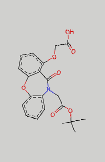 CC(C)(C)OC(=O)CN1C(=O)c2c(OCC(=O)O)cccc2Oc2ccccc21